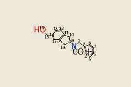 O=C(O)N(Cc1ccccc1)[C@@H]1Cc2ccc(CO)cc2C1